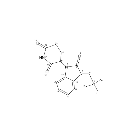 CC(C)(C)Cn1c(=O)n(C2CCC(=O)NC2=O)c2ccccc21